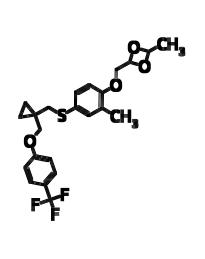 Cc1cc(SCC2(COc3ccc(C(F)(F)F)cc3)CC2)ccc1OCC1OC(C)O1